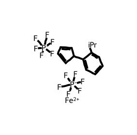 CC(C)c1ccccc1C1C=CC=C1.F[P-](F)(F)(F)(F)F.F[P-](F)(F)(F)(F)F.[Fe+2]